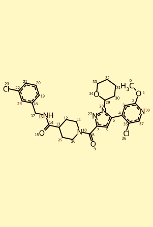 COc1cc(-c2cc(C(=O)N3CCC(C(=O)NCc4cccc(Cl)c4)CC3)nn2C2CCCCO2)c(Cl)cn1